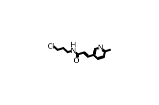 Cc1ccc(C=CC(=O)NCCCCl)cn1